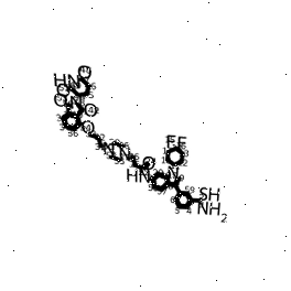 NC(S)c1cccc(-c2cn(C3CCC(F)(F)CC3)c3cc(NC(=O)CCN4CCN(CCCOc5cccc6c5C(=O)N(C5CCC(=O)NC5=O)C6=O)CC4)ccc23)c1